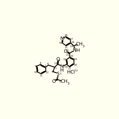 CC(=O)SCC(Cc1ccccc1)C(=O)Nc1cccc(C(=O)NC(C)c2ccncc2)c1.Cl